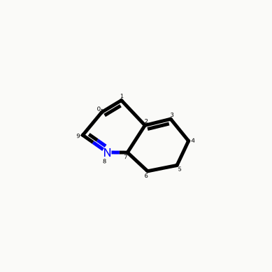 [C]1=CC2=CCCCC2N=C1